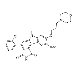 COc1cc2c3c4c(c(-c5ccccc5Cl)cc3n(C)c2cc1OCCCN1CCOCC1)C(=O)NC4=O